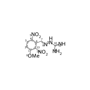 COc1ccc([N+](=O)[O-])c(C=NNC(=N)N)c1[N+](=O)[O-]